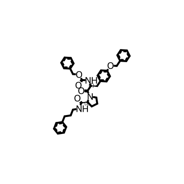 O=C(N[C@@H](Cc1ccc(OCc2ccccc2)cc1)C(=O)N1CCC[C@H]1C(=O)NCCCc1ccccc1)OCc1ccccc1